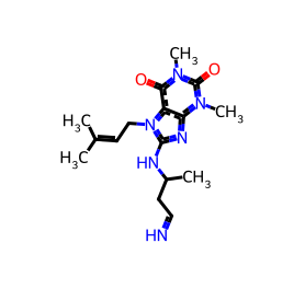 CC(C)=CCn1c(NC(C)CC=N)nc2c1c(=O)n(C)c(=O)n2C